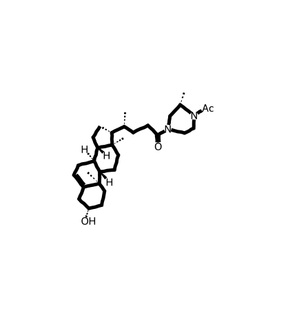 CC(=O)N1CCN(C(=O)CC[C@@H](C)[C@H]2CC[C@H]3[C@@H]4CC=C5C[C@@H](O)CC[C@]5(C)[C@H]4CC[C@]23C)C[C@@H]1C